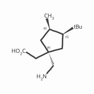 C[C@@H]1C[C@](CN)(CC(=O)O)C[C@@H]1C(C)(C)C